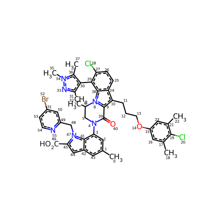 Cc1cc(N2CC(C)n3c(c(CCCOc4cc(C)c(Cl)c(C)c4)c4ccc(Cl)c(-c5c(C)nn(C)c5C)c43)C2=O)c2c(c1)cc(C(=O)O)n2Cc1cc(Br)ccn1